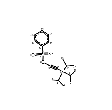 CC(C)[Si](C#COS(=O)(=S)c1ccccc1)(C(C)C)C(C)C